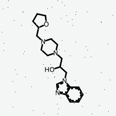 OC(CN1CCN(CC2CCCO2)CC1)Cn1cnc2ccccc21